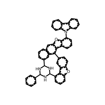 c1ccc(C2NC(c3ccccc3)NC(c3cccc4oc5ccc(-c6cccc7oc8c(-n9c%10ccccc%10c%10ccccc%109)cccc8c67)cc5c34)N2)cc1